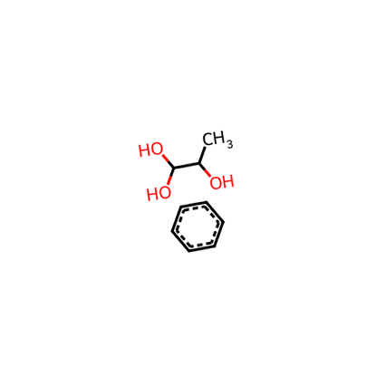 CC(O)C(O)O.c1ccccc1